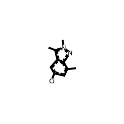 Cc1cc(Cl)cc2c(C)n(C)nc12